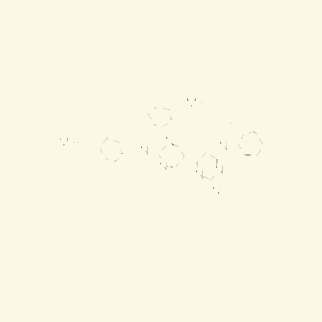 COc1ccc(CN(Cc2ccc(OC)cc2)c2ncc(-c3nc(N4CCOCC4)nc4c3CCN4c3ccccc3C)cn2)cc1